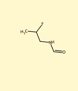 CC(F)CNC=O